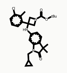 Cc1c(Cl)cccc1C1(Nc2ccc3c(c2)N(CC2CC2)C(=O)C3(C)C)CN(C(=O)OC(C)(C)C)C1